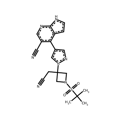 CC(C)(C)S(=O)(=O)N1CC(CC#N)(n2cc(-c3c(C#N)cnc4[nH]ccc34)cn2)C1